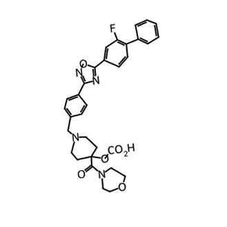 O=C(O)OC1(C(=O)N2CCOCC2)CCN(Cc2ccc(-c3noc(-c4ccc(-c5ccccc5)c(F)c4)n3)cc2)CC1